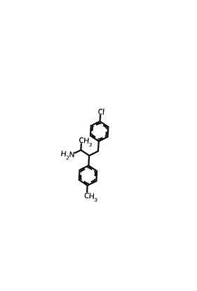 Cc1ccc(C(Cc2ccc(Cl)cc2)C(C)N)cc1